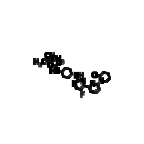 CC(C)(C)OC(=O)N[C@H]1CC[C@H](Nc2ncc(F)c(-c3cccc(N4CCCCC4=O)n3)n2)CC1